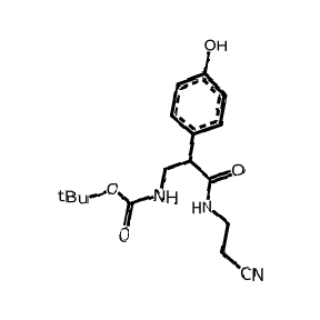 CC(C)(C)OC(=O)NCC(C(=O)NCCC#N)c1ccc(O)cc1